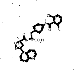 C[C@]1(C(=O)N[C@@H](Cc2ccc(NC(=O)c3c(Cl)cccc3Cl)cc2)C(=O)O)CC(c2cccc3ncccc23)=NO1